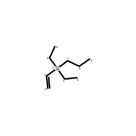 C=C[Si](CC)(CC)CCC